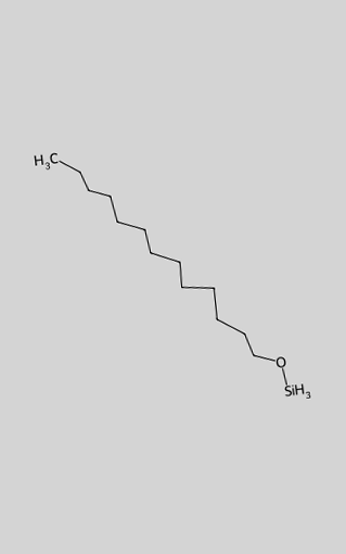 CCCCCCCCCCCCCO[SiH3]